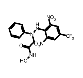 O=C(CN(Nc1c([N+](=O)[O-])cc(C(F)(F)F)cc1[N+](=O)[O-])c1ccccc1)NO